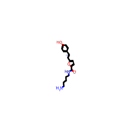 NCCCCCNC(=O)c1ccc(/C=C/c2ccc(O)cc2)o1